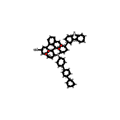 CC(C)(C)c1cc(-c2cccc3cccc(-c4ccccc4N(c4ccc(-c5ccc(-c6ccccc6)cc5)cc4)c4ccc(-c5ccc6oc7ccccc7c6c5)cc4)c23)cc(C(C)(C)C)c1